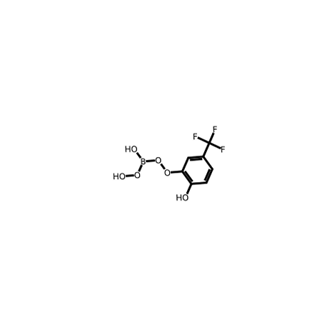 OOB(O)OOc1cc(C(F)(F)F)ccc1O